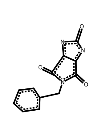 O=c1nc2c(=O)n(Cc3ccccc3)c(=O)c-2n1